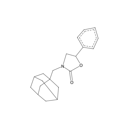 O=C1OC(c2ccccc2)CN1CC12CC3CC(CC(C3)C1)C2